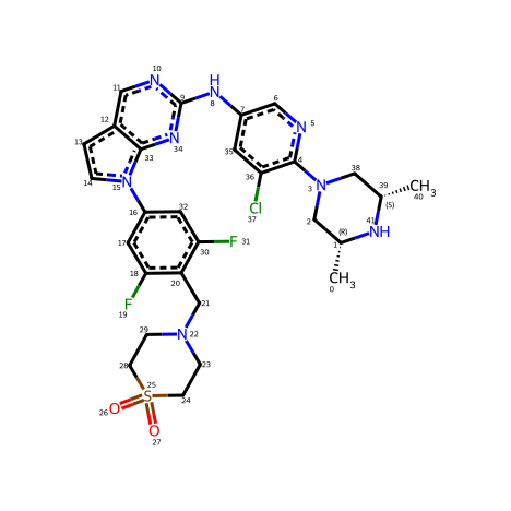 C[C@@H]1CN(c2ncc(Nc3ncc4ccn(-c5cc(F)c(CN6CCS(=O)(=O)CC6)c(F)c5)c4n3)cc2Cl)C[C@H](C)N1